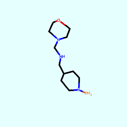 PN1CCC(CNCN2CCOCC2)CC1